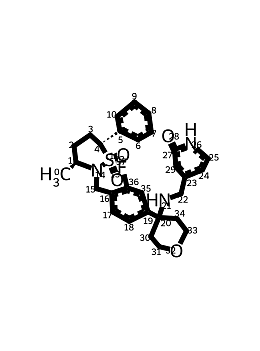 C[C@H]1CC[C@H](c2ccccc2)S(=O)(=O)N1Cc1ccc(C2(NCc3cc[nH]c(=O)c3)CCOCC2)cc1F